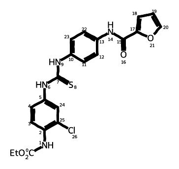 CCOC(=O)Nc1ccc(NC(=S)Nc2ccc(NC(=O)c3ccco3)cc2)cc1Cl